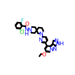 CCOc1cc(-c2ccc(N3CCCC4(CCN(NC(=O)c5c(F)cccc5Cl)CC4)C3)nc2)c2c3cn[nH]c3nn2c1